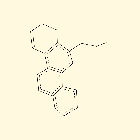 [CH2]CCc1cc2c(ccc3ccccc32)c2c1CCC=C2